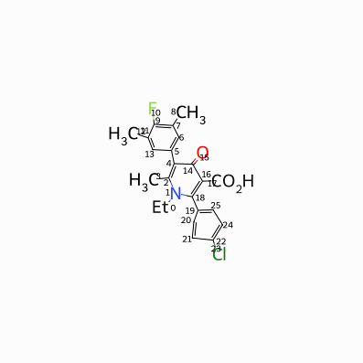 CCn1c(C)c(-c2cc(C)c(F)c(C)c2)c(=O)c(C(=O)O)c1-c1ccc(Cl)cc1